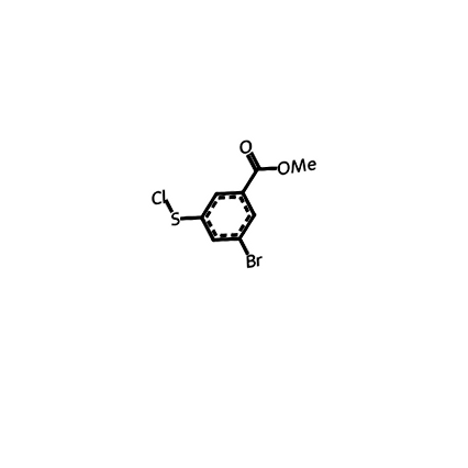 COC(=O)c1cc(Br)cc(SCl)c1